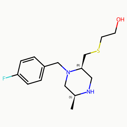 C[C@H]1CN(Cc2ccc(F)cc2)[C@@H](CSCCO)CN1